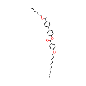 CCCCCCCCCCOc1ccc(C(=O)Oc2ccc(-c3ccc(C(C)OCCCCCC)cc3)cc2)cc1